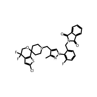 Cc1nn(-c2c(F)cccc2CN2C(=O)c3ccccc3C2=O)cc1CN1CCC2(CC1)OCC(F)(F)c1cc(Cl)sc12